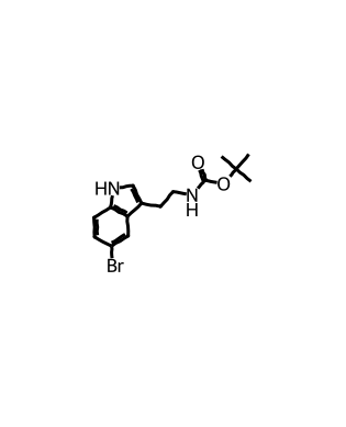 CC(C)(C)OC(=O)NCCc1c[nH]c2ccc(Br)cc12